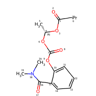 CC(C)C(=O)O[C@@H](C)OC(=O)Oc1ccccc1C(=O)N(C)C